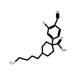 CCCCCC1CCC(C(=O)O)(c2ccc(C#N)c(F)c2)CC1